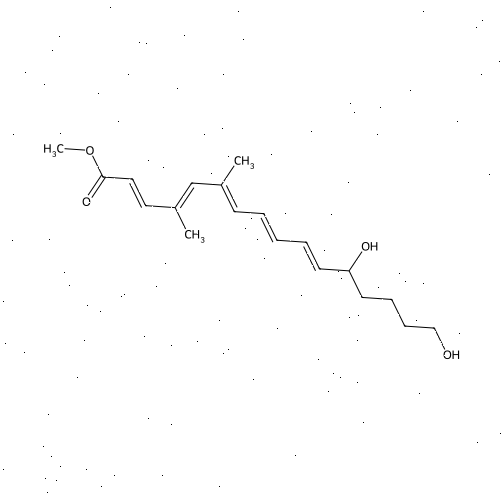 COC(=O)C=CC(C)=CC(C)=CC=CC=CC(O)CCCCO